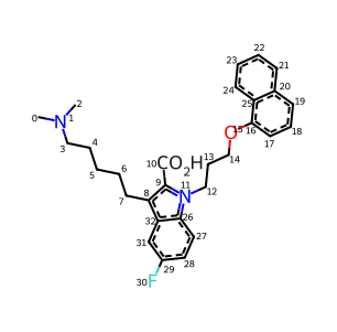 CN(C)CCCCCc1c(C(=O)O)n(CCCOc2cccc3ccccc23)c2ccc(F)cc12